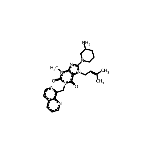 CC(C)=CCn1c(N2CCCC(N)C2)nc2c1c(=O)n(Cc1nccc3cccnc13)c(=O)n2C